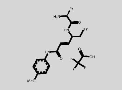 CC[C@H](N)C(=O)N[C@H](C=CC(=O)Nc1ccc(OC)cc1)CC(C)C.O=C(O)C(F)(F)F